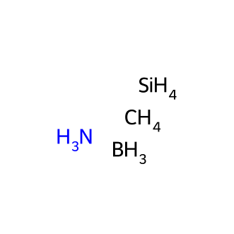 B.C.N.[SiH4]